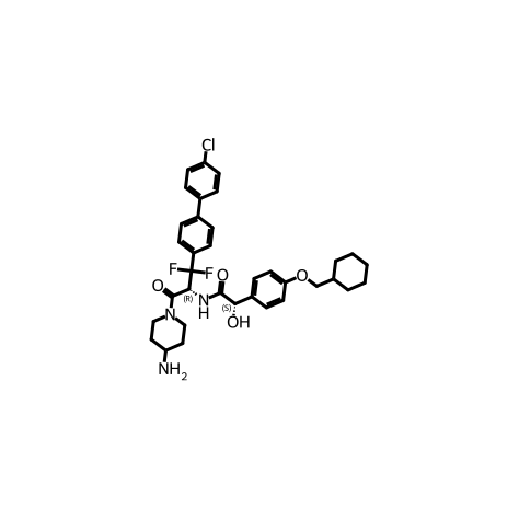 NC1CCN(C(=O)[C@@H](NC(=O)[C@@H](O)c2ccc(OCC3CCCCC3)cc2)C(F)(F)c2ccc(-c3ccc(Cl)cc3)cc2)CC1